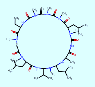 C=C1N(C)C(=O)NC(CC)C(=O)N(C)CC(=O)N(C)C(CC(C)C)C(=O)NC(C(C)C)N(C)C(CC(C)C)NC(C)C(=O)NC(=O)N(C)C(CC(C)C)C(=O)N(C)C(=O)N1C